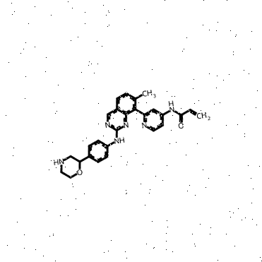 C=CC(=O)Nc1ccnc(-c2c(C)ccc3cnc(Nc4ccc(C5CNCCO5)cc4)nc23)c1